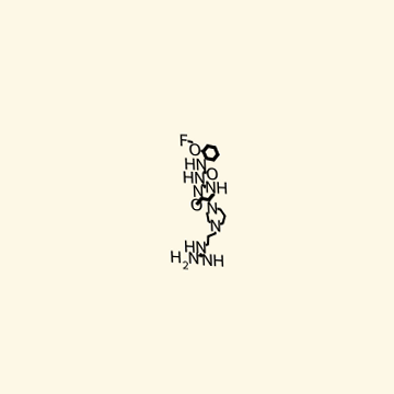 N=C(N)NCCCN1CCCN(c2c[nH]c(NC(=O)Nc3ccccc3OCF)nc2=O)CC1